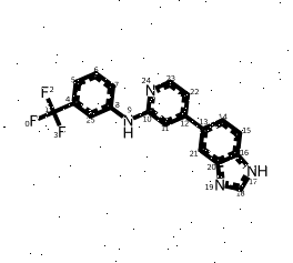 FC(F)(F)c1cccc(Nc2cc(-c3ccc4[nH]cnc4c3)ccn2)c1